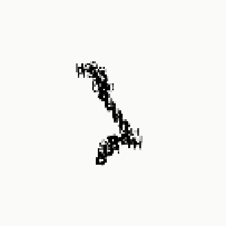 [2H]C([2H])([2H])Oc1ncc(-c2ccnc(N3CCc4c(sc5c4CCCC5)C3=O)c2[C@H](C)O)cc1Nc1ccc(N2CCN(C3CCN(c4ccc5c(c4)C(=O)N(C4CCC(=O)N(C(C)OP(=O)(O)O)C4=O)C5=O)[C@@H](C)C3)C[C@@H]2C)cn1